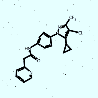 O=C(Cc1ccccn1)Nc1ccc(-n2nc(C(F)(F)F)c(Cl)c2C2CC2)cc1